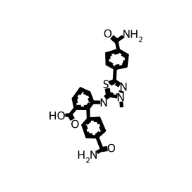 Cn1nc(-c2ccc(C(N)=O)cc2)sc1=Nc1cccc(C(=O)O)c1-c1ccc(C(N)=O)cc1